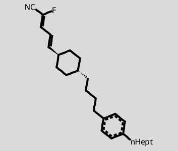 CCCCCCCc1ccc(CCCC[C@H]2CC[C@H](/C=C/C=C(\F)C#N)CC2)cc1